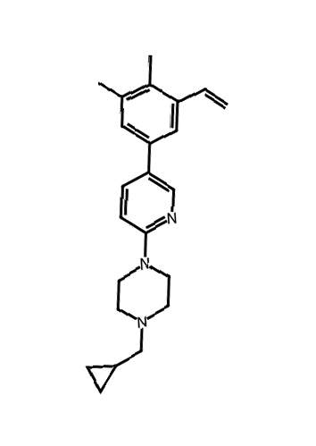 C=Cc1cc(-c2ccc(N3CCN(CC4CC4)CC3)nc2)cc(C)c1C